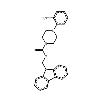 Nc1ccccc1N1CCN(C(=O)OCC2c3ccccc3-c3ccccc32)CC1